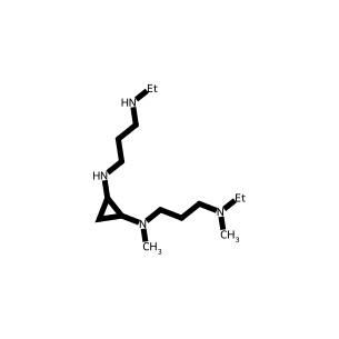 CCNCCCNC1CC1N(C)CCCN(C)CC